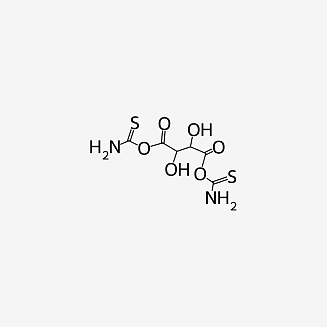 NC(=S)OC(=O)C(O)C(O)C(=O)OC(N)=S